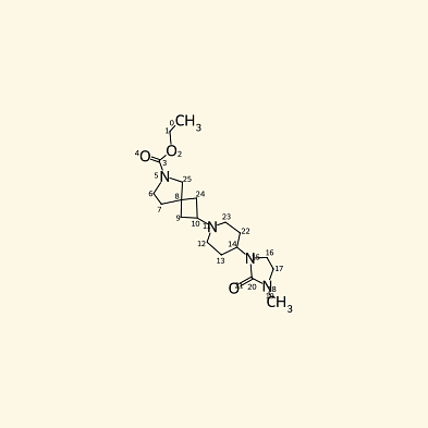 CCOC(=O)N1CCC2(CC(N3CCC(N4CCN(C)C4=O)CC3)C2)C1